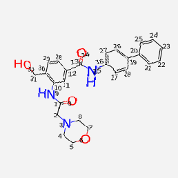 O=C(CN1CCOCC1)Nc1cc(C(=O)Nc2ccc(-c3ccccc3)cc2)ccc1CO